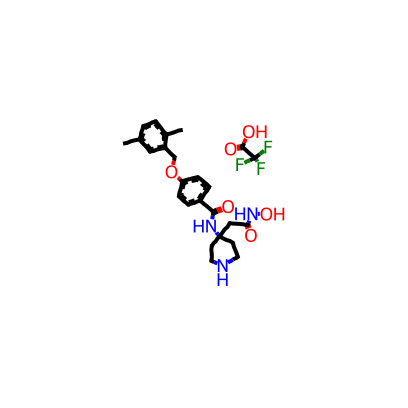 Cc1ccc(C)c(COc2ccc(C(=O)NC3(CC(=O)NO)CCNCC3)cc2)c1.O=C(O)C(F)(F)F